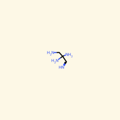 N=CC(N)(N)CN